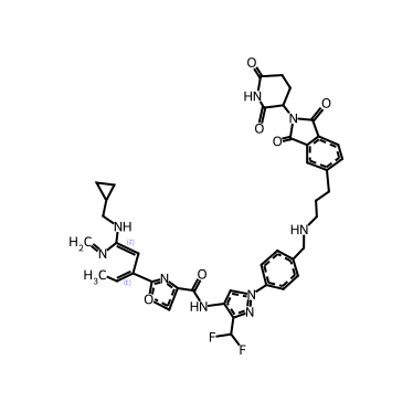 C=N/C(=C\C(=C/C)c1nc(C(=O)Nc2cn(-c3ccc(CNCCCc4ccc5c(c4)C(=O)N(C4CCC(=O)NC4=O)C5=O)cc3)nc2C(F)F)co1)NCC1CC1